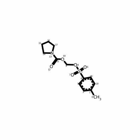 Cc1ccc(S(=O)(=O)OCOC(=O)N2CCCC2)cc1